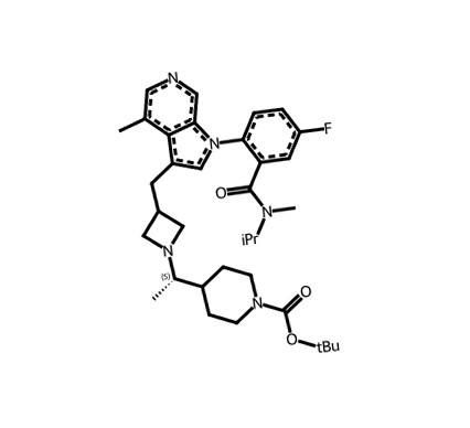 Cc1cncc2c1c(CC1CN([C@@H](C)C3CCN(C(=O)OC(C)(C)C)CC3)C1)cn2-c1ccc(F)cc1C(=O)N(C)C(C)C